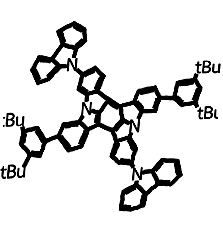 CC(C)(C)c1cc(-c2ccc3c4c5c6ccc(-n7c8ccccc8c8ccccc87)cc6n6c7cc(-c8cc(C(C)(C)C)cc(C(C)(C)C)c8)ccc7c(c7c8ccc(-n9c%10ccccc%10c%10ccccc%109)cc8n(c3c2)c47)c56)cc(C(C)(C)C)c1